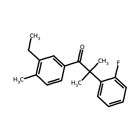 CCc1cc(C(=O)C(C)(C)c2ccccc2F)ccc1C